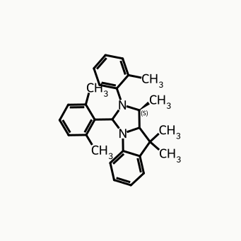 Cc1ccccc1N1C(c2c(C)cccc2C)N2c3ccccc3C(C)(C)C2[C@@H]1C